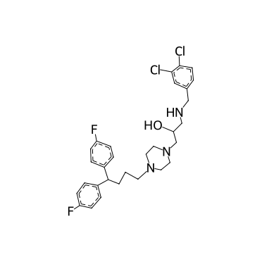 OC(CNCc1ccc(Cl)c(Cl)c1)CN1CCN(CCCC(c2ccc(F)cc2)c2ccc(F)cc2)CC1